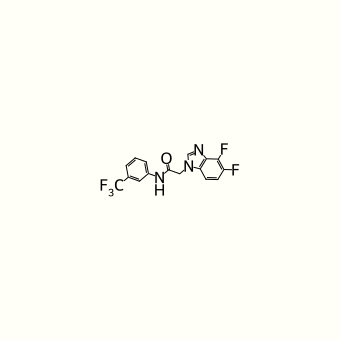 O=C(Cn1cnc2c(F)c(F)ccc21)Nc1cccc(C(F)(F)F)c1